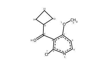 COc1ccnc(Cl)c1C(=O)C1CCC1